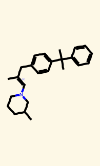 C/C(=C\N1CCCC(C)C1)Cc1ccc(C(C)(C)c2ccccc2)cc1